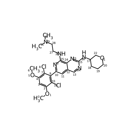 COc1cc(OC)c(Cl)c(-c2cc3cnc(NC4CCCOC4)nc3c(NCCN(C)C)n2)c1Cl